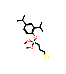 CO[Si](CCCS)(OC)Oc1ccc(C(C)C)cc1C(C)C